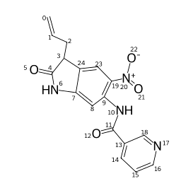 C=CCC1C(=O)Nc2cc(NC(=O)c3cccnc3)c([N+](=O)[O-])cc21